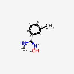 CCN/C(=N\O)c1cccc(C)c1